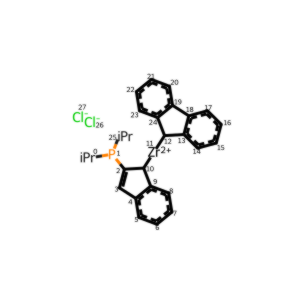 CC(C)P(C1=Cc2ccccc2[CH]1[Zr+2][CH]1c2ccccc2-c2ccccc21)C(C)C.[Cl-].[Cl-]